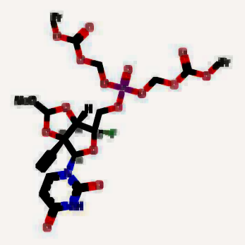 C#C[C@@]12OC(OC)O[C@@H]1[C@@](F)(COP(=O)(OCOC(=O)OC(C)C)OCOC(=O)OC(C)C)O[C@H]2n1ccc(=O)[nH]c1=O